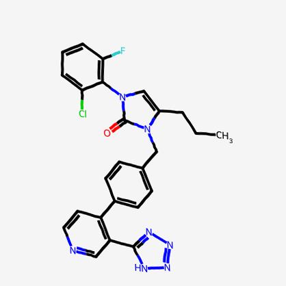 CCCc1cn(-c2c(F)cccc2Cl)c(=O)n1Cc1ccc(-c2ccncc2-c2nnn[nH]2)cc1